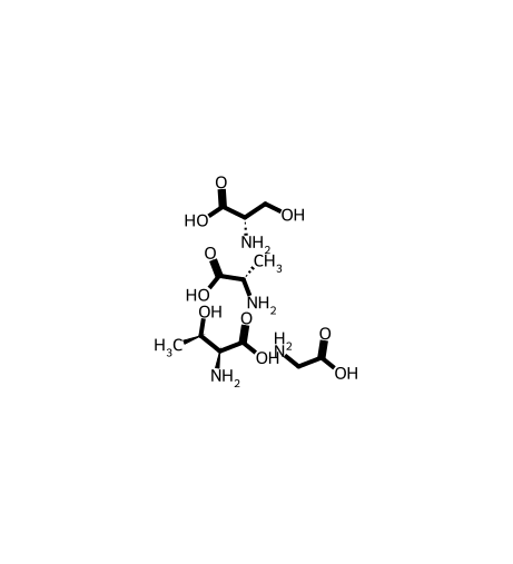 C[C@@H](O)[C@H](N)C(=O)O.C[C@H](N)C(=O)O.NCC(=O)O.N[C@@H](CO)C(=O)O